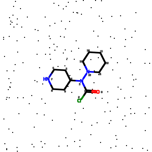 O=C(Cl)N(C1CCNCC1)N1CCCCC1